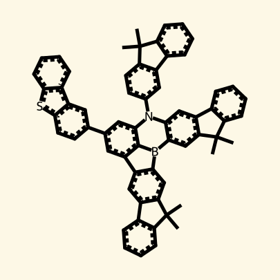 CC1(C)c2ccccc2-c2cc(N3c4cc5c(cc4B4c6cc7c(cc6-c6cc(-c8ccc9sc%10ccccc%10c9c8)cc3c64)-c3ccccc3C7(C)C)C(C)(C)c3ccccc3-5)ccc21